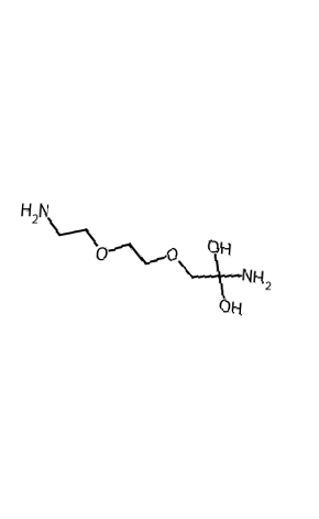 NCCOCCOCC(N)(O)O